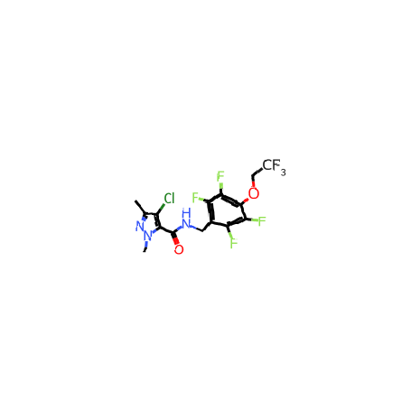 Cc1nn(C)c(C(=O)NCc2c(F)c(F)c(OCC(F)(F)F)c(F)c2F)c1Cl